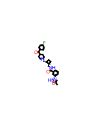 CC1=CN(c2cccc(C(=O)NC[C@@H]3CC[C@H]3CN3CCC(C(=O)c4ccc(F)cc4)CC3)c2)NO1